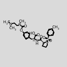 Cc1ccc(S(=O)(=O)N2CCC[C@H]2C(=O)N[C@@H](Cc2ccc(OC(=O)N(C)CCN(C)C)cc2)C(=O)O)cc1